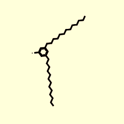 [CH2]c1cc(CCCCCCCCCCCCC)cc(CCCCCCCCCCCCC)c1